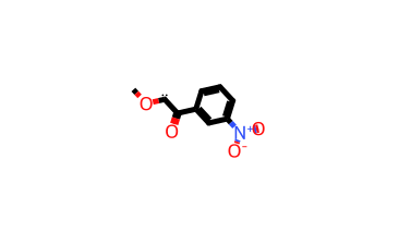 CO[C]C(=O)c1cccc([N+](=O)[O-])c1